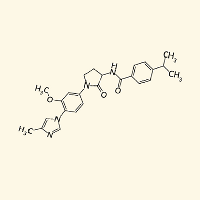 COc1cc(N2CCC(NC(=O)c3ccc(C(C)C)cc3)C2=O)ccc1-n1cnc(C)c1